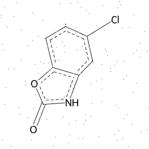 O=c1[nH]c2cc(Cl)[c]cc2o1